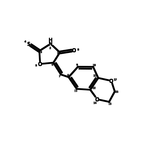 O=C1NC(=S)OC1=Cc1ccc2c(c1)OCCO2